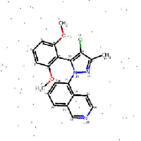 COc1cccc(OC)c1-c1c(Cl)c(C)nn1-c1cccc2cnccc12